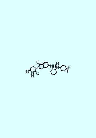 O=C1CCC(N2Cc3cc(N[C@H]4CCCC[C@@H]4NC4CCC(F)(F)CC4)ccc3C2=O)C(=O)N1